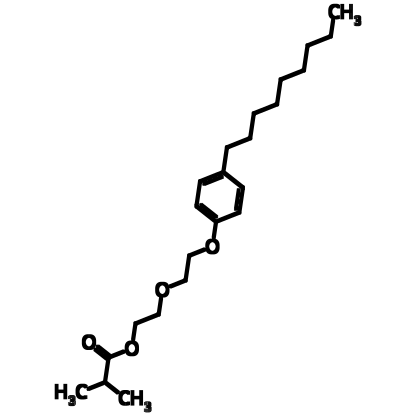 CCCCCCCCCc1ccc(OCCOCCOC(=O)C(C)C)cc1